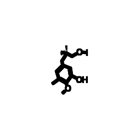 COc1c(C)cc(C[C@H](C)COI)cc1O